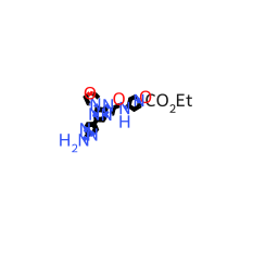 CCOC(=O)ON1CCC(NC(=O)c2cn3cc(-c4cnc(N)nc4)nc(N4CCOCC4)c3n2)CC1